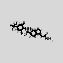 CCc1cc(C(F)(C(F)(F)F)C(F)(F)F)cc(C)c1NC(=O)c1ccc2c(c1)CCC2CC(N)=O